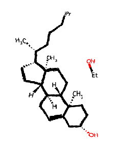 CC(C)CCC[C@@H](C)[C@H]1CC[C@H]2[C@@H]3CC=C4C[C@@H](O)CC[C@]4(C)[C@H]3CC[C@]12C.CCO